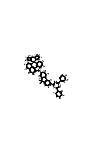 CC1(C)c2ccc(-c3nc(-c4ccccc4)nc(-c4ccccc4)n3)cc2-c2ccc(-n3c4cccc5c4c4c6c(cccc6ccc43)C53c4ccccc4-c4ccccc43)cc21